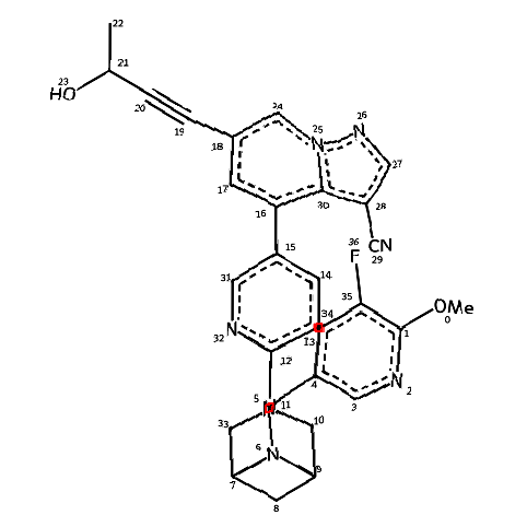 COc1ncc(CN2C3CC2CN(c2ccc(-c4cc(C#CC(C)O)cn5ncc(C#N)c45)cn2)C3)cc1F